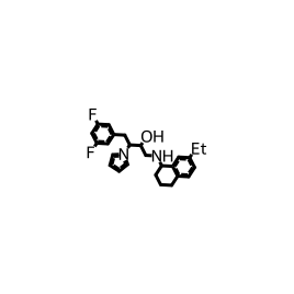 CCc1ccc2c(c1)C(NCC(O)C(Cc1cc(F)cc(F)c1)n1cccc1)CCC2